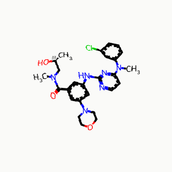 C[C@H](O)CN(C)C(=O)c1cc(Nc2nccc(N(C)c3cccc(Cl)c3)n2)cc(N2CCOCC2)c1